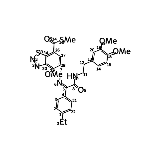 CCc1ccc(/C(=N/OC)C(=O)NCCc2ccc(OC)c(OC)c2)cc1.CSC(=O)c1cccc2nnsc12